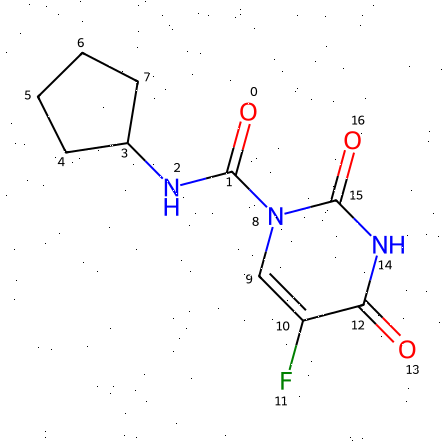 O=C(NC1CCCC1)n1cc(F)c(=O)[nH]c1=O